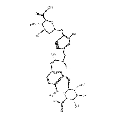 COc1ccc(C[C@H](C)[C@H](C)Cc2ccc(O[C@H]3C[C@@H](O)[C@H](O)[C@@H](C(=O)O)O3)c(O)c2)cc1O[C@@H]1O[C@H](C(=O)O)[C@@H](O)[C@H](O)[C@H]1O